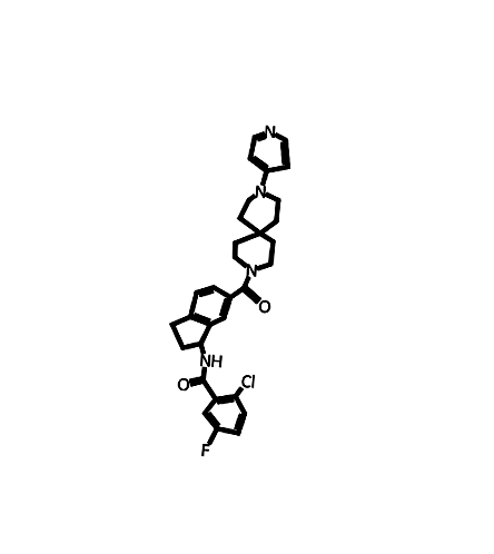 O=C(NC1CCc2ccc(C(=O)N3CCC4(CC3)CCN(c3ccncc3)CC4)cc21)c1cc(F)ccc1Cl